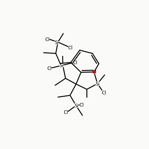 CC(Cc1ccccc1C(C(C)[Si](C)(Cl)Cl)(C(C)[Si](C)(Cl)Cl)C(C)[Si](C)(Cl)Cl)[Si](C)(Cl)Cl